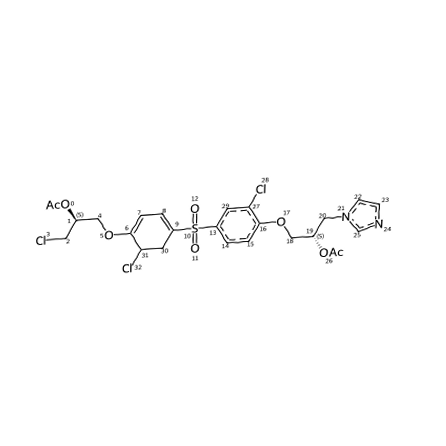 CC(=O)O[C@H](CCl)COC1=CC=C(S(=O)(=O)c2ccc(OC[C@H](Cn3ccnc3)OC(C)=O)c(Cl)c2)CC1Cl